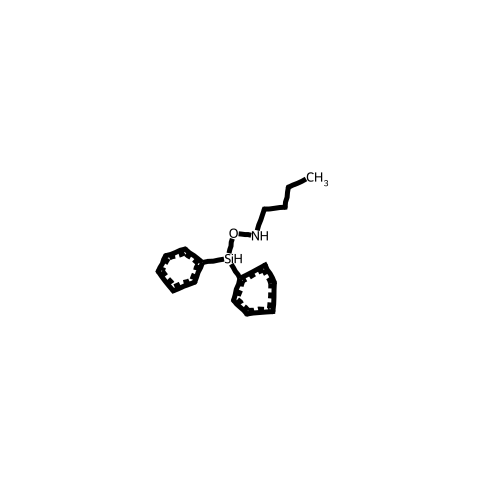 CCCCNO[SiH](c1ccccc1)c1ccccc1